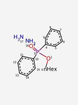 CCCCCCOP(=O)(c1ccccc1)c1ccccc1.N.N